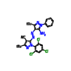 CC(C)(C)c1nn(-c2c(Cl)cc(Cl)cc2Cl)c(/N=N/c2c(C(C)(C)C)nn(-c3ccccc3)c2N)c1C#N